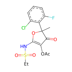 CCS(=O)(=O)NC1=C(OC(C)=O)C(=O)C(C)(c2c(F)cccc2Cl)O1